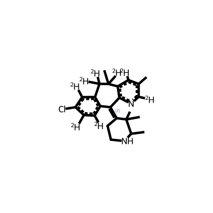 [2H]c1nc2c(c([2H])c1C)C([2H])(C)C([2H])([2H])c1c([2H])c(Cl)c([2H])c([2H])c1/C2=C1\CCNC(C)C1(C)C